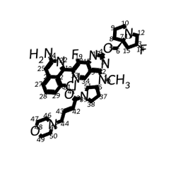 CN(c1nc(OC[C@@]23CCCN2C[C@H](F)C3)nc2c(F)c(-c3nc(N)cc4cccc(Cl)c34)ncc12)[C@@H]1CCN(C(=O)/C=C/CN2CCOCC2)C1